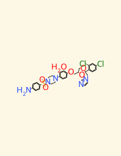 Nc1ccc(S(=O)(=O)N2CCN(c3ccc(OCC4COC(Cn5ccnc5)(c5ccc(Cl)cc5Cl)O4)cc3)CC2)cc1.O